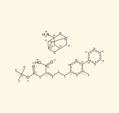 Cc1cc(CCC=C(CC(=O)OC(C)(C)C)C(=O)O)ccc1-c1ccccc1.NC12CC3CC(CC(C3)C1)C2